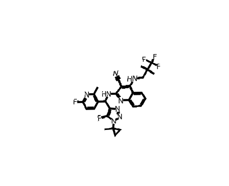 Cc1nc(F)ccc1C(Nc1nc2ccccc2c(NCC(C)(C)C(F)(F)F)c1C#N)c1nnn(C2(C)CC2)c1F